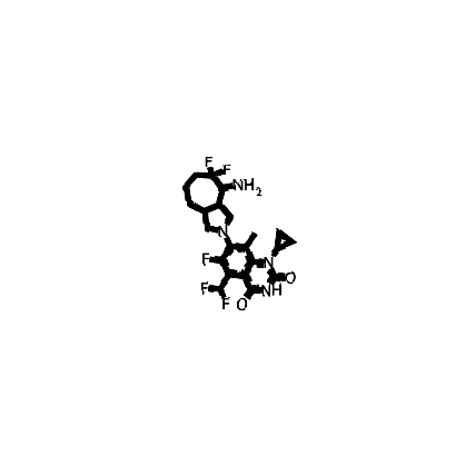 Cc1c(N2CC3CCCC(F)(F)C(N)C3C2)c(F)c(C(F)F)c2c(=O)[nH]c(=O)n(C3CC3)c12